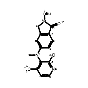 CCCCN1Cc2cc(N(C)c3c(C(F)(F)F)ccnc3Cl)ccc2C1=O